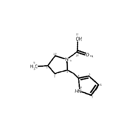 CC1CC(c2ccc[nH]2)N(C(=O)O)C1